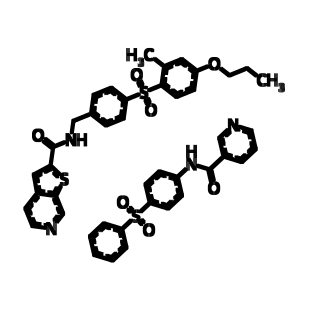 CCCOc1ccc(S(=O)(=O)c2ccc(CNC(=O)c3cc4ccncc4s3)cc2)c(C)c1.O=C(Nc1ccc(S(=O)(=O)c2ccccc2)cc1)c1cccnc1